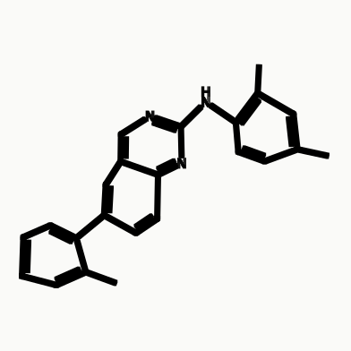 Cc1ccc(Nc2ncc3cc(-c4ccccc4C)ccc3n2)c(C)c1